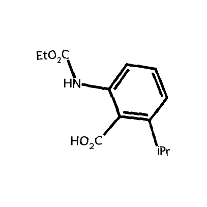 CCOC(=O)Nc1cccc(C(C)C)c1C(=O)O